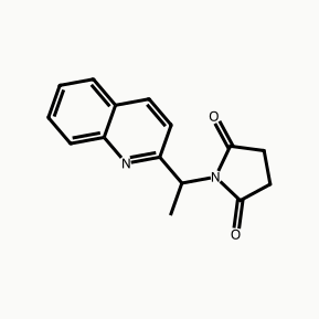 CC(c1ccc2ccccc2n1)N1C(=O)CCC1=O